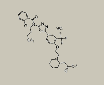 CCCCN(C(=O)c1ccccc1Cl)c1nnc(-c2ccc(OCCN3CCCCC3CC(=O)O)c(C(F)(F)F)c2)s1.Cl